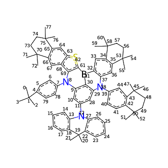 CC(C)(C)c1ccc(N2c3cc(N4c5ccccc5C(C)(C)c5ccccc54)cc4c3B(c3cc5c(cc3N4c3ccc4c(c3)C(C)(C)CCC4(C)C)C(C)(C)CCC5(C)C)c3sc4cc5c(cc4c32)C(C)(C)CCC5(C)C)cc1